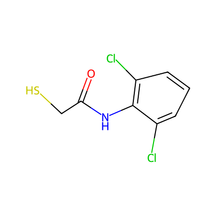 O=C(CS)Nc1c(Cl)cccc1Cl